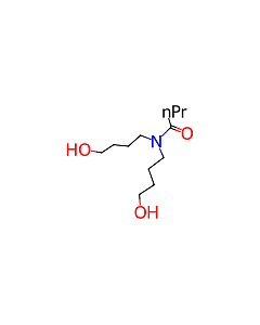 CCCC(=O)N(CCCCO)CCCCO